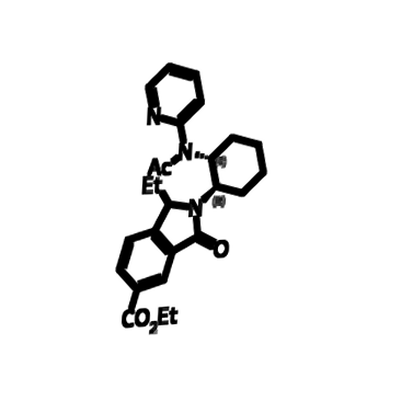 CCOC(=O)c1ccc2c(c1)C(=O)N([C@@H]1CCCC[C@H]1N(C(C)=O)c1ccccn1)C2CC